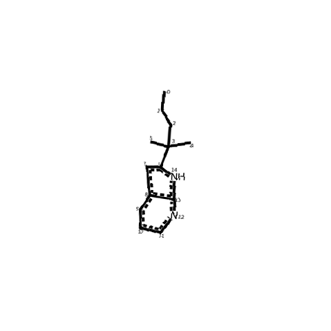 CCCC(C)(C)c1cc2cccnc2[nH]1